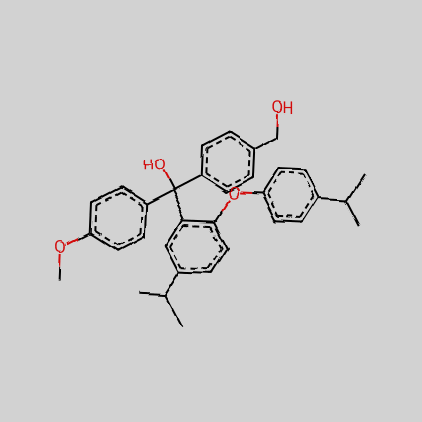 COc1ccc(C(O)(c2ccc(CO)cc2)c2cc(C(C)C)ccc2Oc2ccc(C(C)C)cc2)cc1